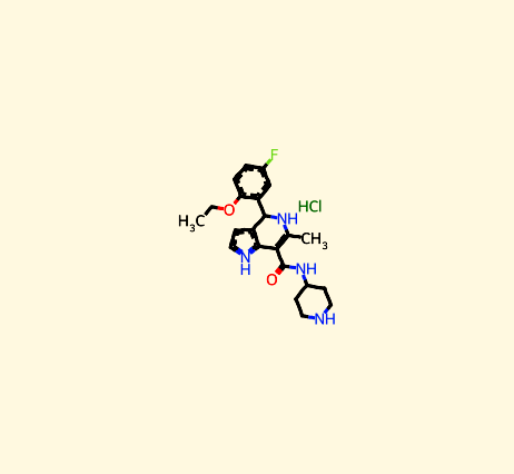 CCOc1ccc(F)cc1C1NC(C)=C(C(=O)NC2CCNCC2)c2[nH]ccc21.Cl